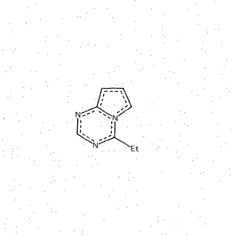 CCc1ncnc2cccn12